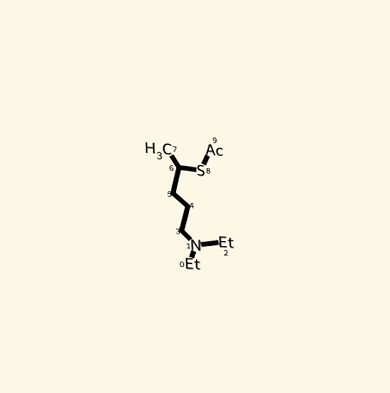 CCN(CC)CCCC(C)SC(C)=O